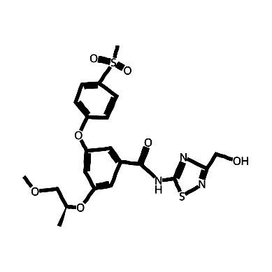 COC[C@H](C)Oc1cc(Oc2ccc(S(C)(=O)=O)cc2)cc(C(=O)Nc2nc(CO)ns2)c1